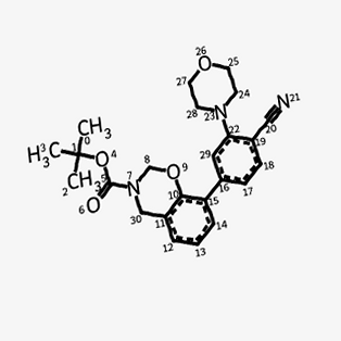 CC(C)(C)OC(=O)N1COc2c(cccc2-c2ccc(C#N)c(N3CCOCC3)c2)C1